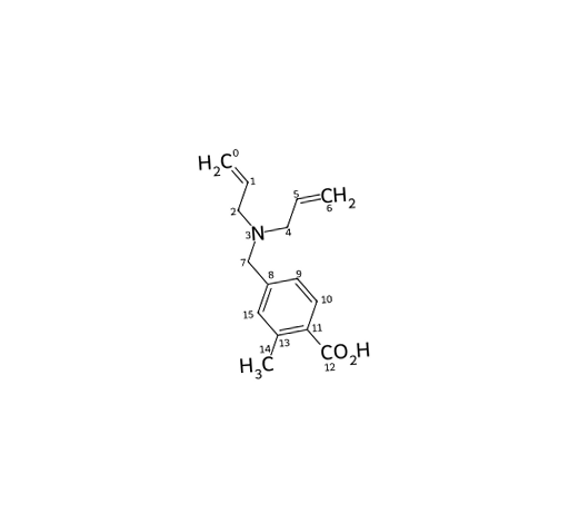 C=CCN(CC=C)Cc1ccc(C(=O)O)c(C)c1